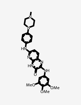 COc1cc(Nc2nc3ccc(Nc4ccc(N5CCN(C)CC5)cc4)nc3[nH]c2=O)cc(OC)c1OC